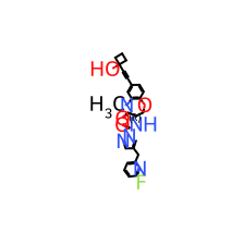 CN1C(=O)[C@H](NC(=O)n2cc(Cc3cccc(F)n3)cn2)COc2ccc(C#CC3(O)CCC3)cc21